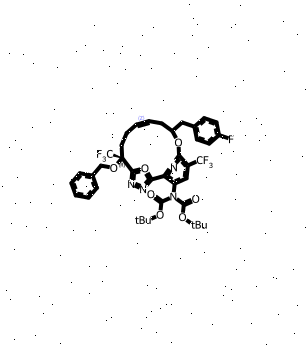 CC(C)(C)OC(=O)N(C(=O)OC(C)(C)C)c1cc(C(F)(F)F)c2nc1-c1nnc(o1)[C@@](OCc1ccccc1)(C(F)(F)F)CC/C=C\CC(Cc1ccc(F)cc1)O2